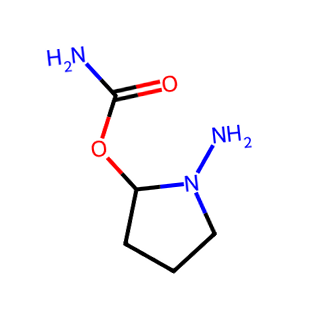 NC(=O)OC1CCCN1N